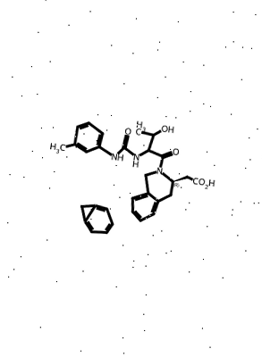 Cc1cccc(NC(=O)NC(C(=O)N2Cc3ccccc3C[C@@H]2CC(=O)O)C(C)O)c1.c1ccc2c(c1)C2